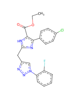 CCOC(=O)c1[nH]c(Cc2cn(-c3ccccc3F)nn2)nc1-c1ccc(Cl)cc1